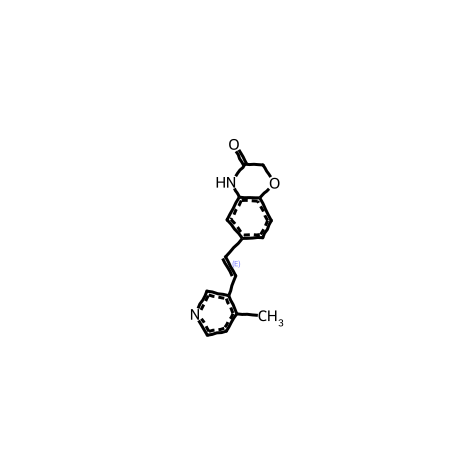 Cc1ccncc1/C=C/c1ccc2c(c1)NC(=O)CO2